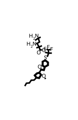 CCCCCc1ccc(-c2cc3ccc(SCC(C)(COC(=O)C(C)(C)C(N)CC(C)(C)N)C(F)(F)F)cc3o2)c(OC)c1